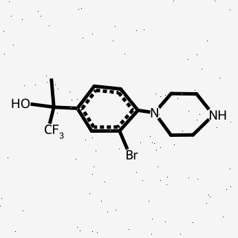 CC(O)(c1ccc(N2CCNCC2)c(Br)c1)C(F)(F)F